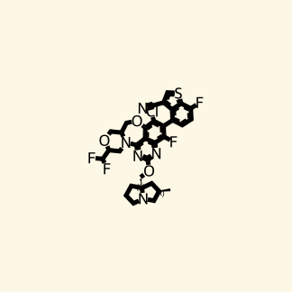 C[C@H]1CN2CCC[C@@]2(COc2nc3c4c(c(Cl)c(-c5ccc(F)c6scc(C#N)c56)c(F)c4n2)OCC2COC(C(F)F)CN32)C1